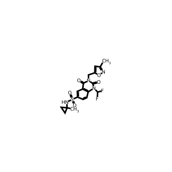 Cc1cc(Cn2c(=O)c3cc(S(=O)(=O)NC4(C)CC4)ccc3n(C(F)F)c2=O)on1